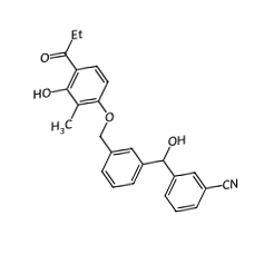 CCC(=O)c1ccc(OCc2cccc(C(O)c3cccc(C#N)c3)c2)c(C)c1O